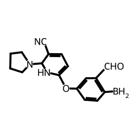 Bc1ccc(OC2=CC=C(C#N)C(N3CCCC3)N2)cc1C=O